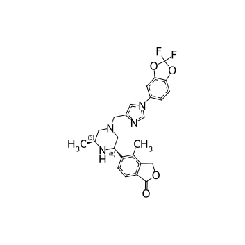 Cc1c([C@@H]2CN(Cc3cn(-c4ccc5c(c4)OC(F)(F)O5)cn3)C[C@H](C)N2)ccc2c1COC2=O